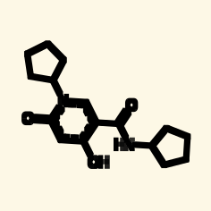 O=C(NC1CCCC1)c1cn(C2CCCC2)c(=O)cc1O